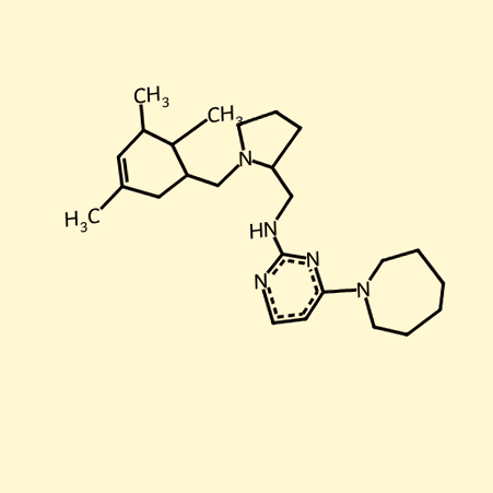 CC1=CC(C)C(C)C(CN2CCCC2CNc2nccc(N3CCCCCC3)n2)C1